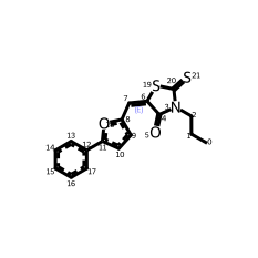 CCCN1C(=O)/C(=C\c2ccc(-c3ccccc3)o2)SC1=S